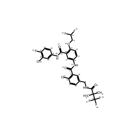 CC(C)(C(=O)NCc1ccc(Cl)c(C(=O)Nc2ccc(OCC(F)F)c(C(=O)Nc3ccc(F)c(Cl)c3)c2)c1)C(F)(F)F